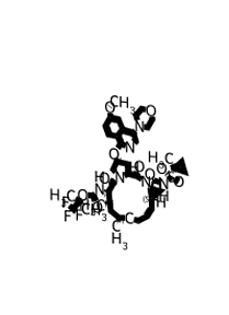 COc1ccc2c(O[C@@H]3C[C@H]4C(=O)N[C@]5(C(=O)NS(=O)(=O)C6(C)CC6)C[C@H]5C=CCC[C@@H](C)C[C@@H](C)[C@H](NC(=O)OC(C)(C)C(F)(F)F)C(=O)N4C3)ncc(N3CCOCC3)c2c1